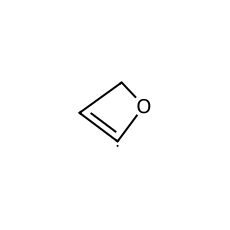 [C]1=CCO1